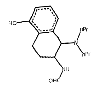 CCCN(CCC)C1c2cccc(O)c2CCC1NC=O